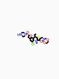 C=Nc1cc(CN2COCCOC2=O)sc1/C(=C\C)c1cc(Cl)cc2c1O[C@@H](C(=O)N1CCNCC1)C2